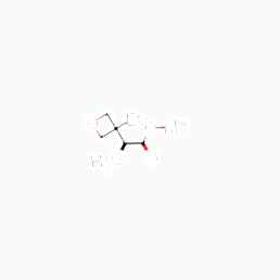 C=C(C(=O)OCCC)C1(CC)COC1